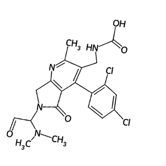 Cc1nc2c(c(-c3ccc(Cl)cc3Cl)c1CNC(=O)O)C(=O)N(C(C=O)N(C)C)C2